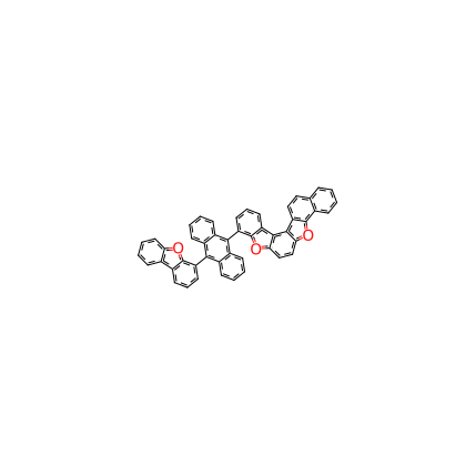 c1ccc2c(c1)ccc1c2oc2ccc3oc4c(-c5c6ccccc6c(-c6cccc7c6oc6ccccc67)c6ccccc56)cccc4c3c21